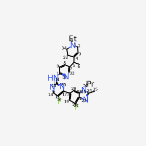 CCN1CC=C(C(C)c2ccc(Nc3ncc(F)c(-c4cc(F)c5nc(C)n(C(C)C)c5c4)n3)nc2)CC1